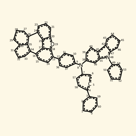 c1ccc(-c2ccc(N(c3ccc(-c4ccc5c6c4oc4cccc(c46)-c4cccc6cccc-5c46)cc3)c3ccc4c5ccccc5n(-c5ccccc5)c4c3)cc2)cc1